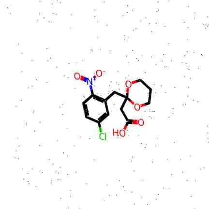 O=C(O)CC1(Cc2cc(Cl)ccc2[N+](=O)[O-])OCCCO1